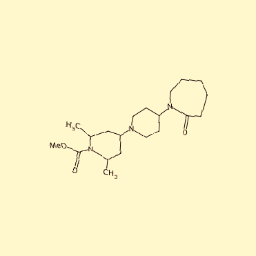 COC(=O)N1C(C)CC(N2CCC(N3CCCCCC3=O)CC2)CC1C